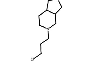 ClCCCN1CCC2COCC2C1